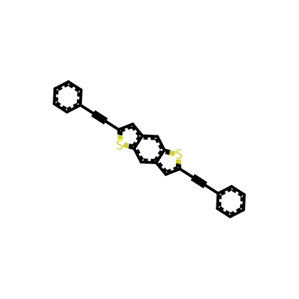 C(#Cc1cc2cc3sc(C#Cc4ccccc4)cc3cc2s1)c1ccccc1